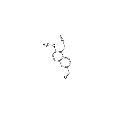 COc1ccc2cc(C=O)ccc2c1CC#N